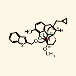 CO[C@]12CC[C@@]3(C[C@H]1COCc1cc4ccccc4s1)[C@H]1Cc4ccc(O)c5c4[C@@]3(CCN1CC1CC1)[C@H]2O5